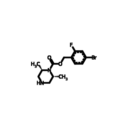 C[C@@H]1CNC[C@H](C)N1C(=O)OCc1ccc(Br)cc1F